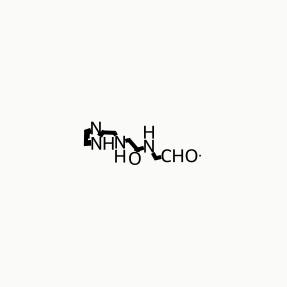 O=[C]CNC(=O)CNCc1ncc[nH]1